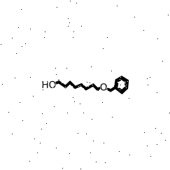 O[CH]CCCCCCCOCc1ccccc1